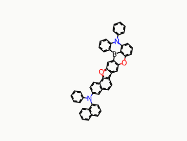 c1ccc(N2c3ccccc3B3c4cc5oc6c7ccc(N(c8ccccc8)c8cccc9ccccc89)cc7ccc6c5cc4Oc4cccc2c43)cc1